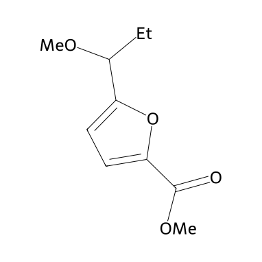 CCC(OC)c1ccc(C(=O)OC)o1